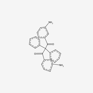 Nc1cccc(C(=O)C(C(=O)c2cccc(N)c2)(c2ccccc2)c2ccccc2)c1